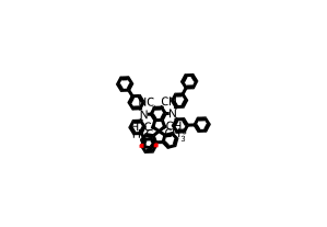 CC1(C)c2c(N(c3ccc(-c4ccccc4)cc3)c3cccc(-c4ccccc4)c3)c(C#N)c(C#N)c(N(c3ccc(-c4ccccc4)cc3)c3cccc(-c4ccccc4)c3)c2C(C)(C)C12c1ccccc1-c1ccccc12